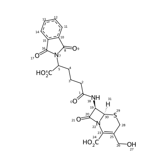 O=C(CCCC(C(=O)O)N1C(=O)c2ccccc2C1=O)N[C@@H]1C(=O)N2C(C(=O)O)=C(CO)CS[C@H]12